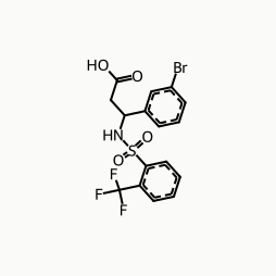 O=C(O)CC(NS(=O)(=O)c1ccccc1C(F)(F)F)c1cccc(Br)c1